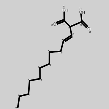 CCCCCCCCCC=CC(C(=O)O)C(=O)O